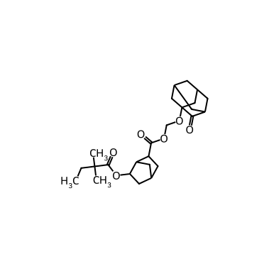 CCC(C)(C)C(=O)OC1CC2CC(C(=O)OCOC34CC5CC(CC(C5)C3=O)C4)C1C2